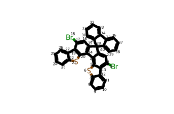 Brc1cc2c(c3sc4ccccc4c13)-c1c(cc(Br)c3c1sc1ccccc13)C21c2ccccc2-c2ccccc21